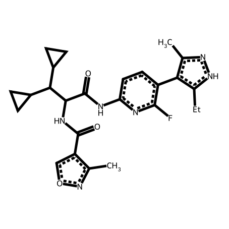 CCc1[nH]nc(C)c1-c1ccc(NC(=O)C(NC(=O)c2conc2C)C(C2CC2)C2CC2)nc1F